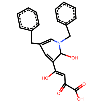 O=C(O)C(=O)/C=C(\O)C1=CC(Cc2ccccc2)=CN(Cc2ccccc2)C1O